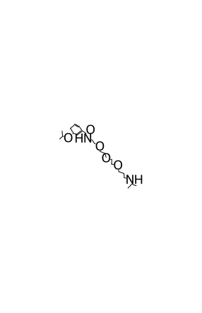 CC(C)NCCCOCCOCCOCCNC(=O)C1=CC(OC(C)C)CC=C1